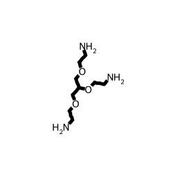 NCCOCC(COCCN)OCCN